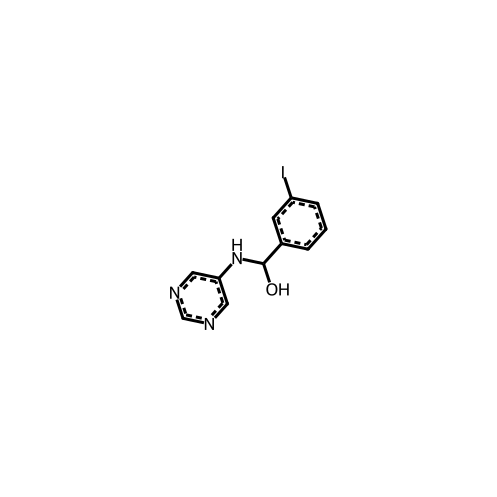 OC(Nc1cncnc1)c1cccc(I)c1